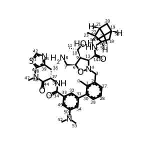 Cc1c(CN2O[C@@H](CN)[C@@H]([C@H](C)O)[C@H]2C(=O)N[C@H]2C[C@H]3C[C@@H]([C@@H]2C)C3(C)C)cccc1-c1cc(C(=O)N[C@@H](Cc2cscn2)C(=O)N(C)C)cc(N(C)C)c1